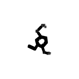 C=[C]c1cc(OC(F)(F)F)ccc1OC(C)C